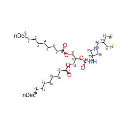 CCCCCCCCCCCCCCCCCC(=O)OCC(COC(=O)CCCCCCCCCCCCCCCCC)OC(=O)NC1CN(CC(CF)CF)C1